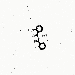 Cl.Nc1ccccc1C(=O)OC(=S)c1ccccc1